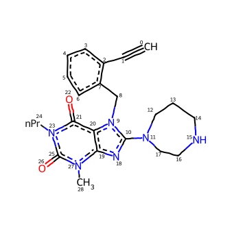 C#Cc1ccccc1Cn1c(N2CCCNCC2)nc2c1c(=O)n(CCC)c(=O)n2C